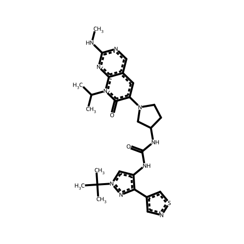 CNc1ncc2cc(N3CCC(NC(=O)Nc4cn(C(C)(C)C)nc4-c4cnsc4)C3)c(=O)n(C(C)C)c2n1